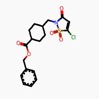 O=C(OCc1ccccc1)C1CCC(CN2C(=O)C=C(Cl)S2(=O)=O)CC1